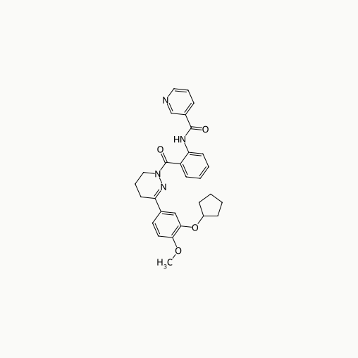 COc1ccc(C2=NN(C(=O)c3ccccc3NC(=O)c3cccnc3)CCC2)cc1OC1CCCC1